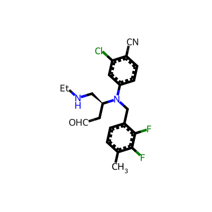 CCNC[C@H](CC=O)N(Cc1ccc(C)c(F)c1F)c1ccc(C#N)c(Cl)c1